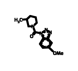 COc1ccc2c(c1)nnn2C(=O)N1CCCC(C)C1